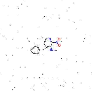 CNc1c(Cc2ccccc2)ccnc1[N+](=O)[O-]